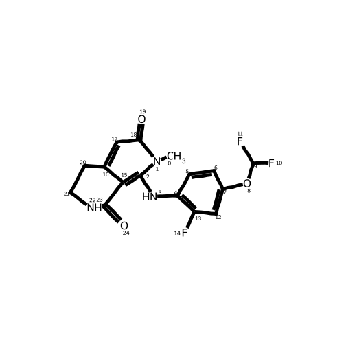 Cn1c(Nc2ccc(OC(F)F)cc2F)c2c(cc1=O)CCNC2=O